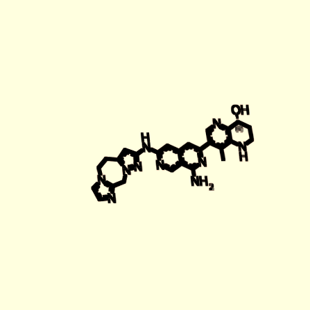 Cc1c(-c2cc3cc(Nc4cc5n(n4)Cc4nccn4CC5)ncc3c(N)n2)cnc2c1NCC[C@H]2O